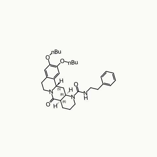 CCCCOc1cc2c(cc1OCCCC)[C@@H]1C[C@@H]3[C@@H](CCCN3C(=O)NCCc3ccccc3)C(=O)N1CC2